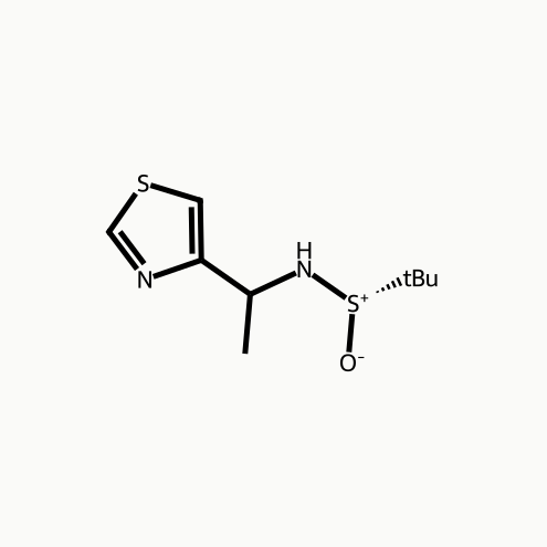 CC(N[S@@+]([O-])C(C)(C)C)c1cscn1